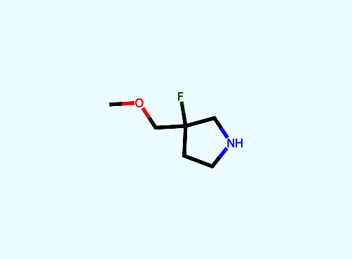 COCC1(F)CCNC1